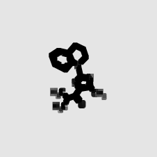 Cc1nc(N2CCCc3ccccc32)sc1C(=O)C(C)C